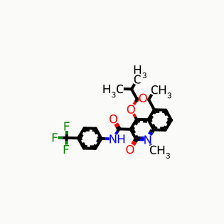 CCc1cccc2c1c(OC(=O)C(C)C)c(C(=O)Nc1ccc(C(F)(F)F)cc1)c(=O)n2C